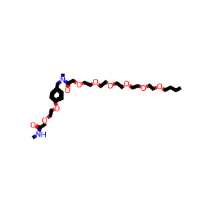 CCCCOCCOCCOCCOCCOCCOCC(=O)N(C)Cc1ccc(OCCOCC(=O)NC)cc1